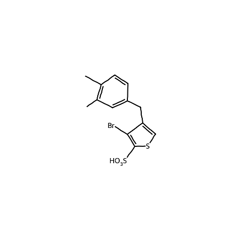 Cc1ccc(Cc2csc(S(=O)(=O)O)c2Br)cc1C